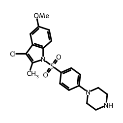 COc1ccc2c(c1)c(Cl)c(C)n2S(=O)(=O)c1ccc(N2CCNCC2)cc1